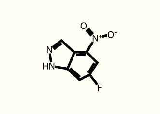 O=[N+]([O-])c1cc(F)cc2[nH]ncc12